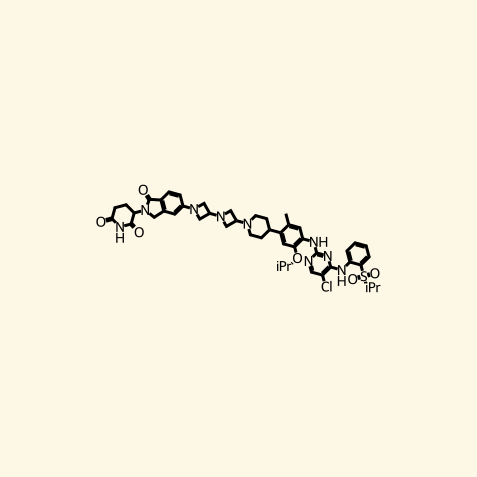 Cc1cc(Nc2ncc(Cl)c(Nc3ccccc3S(=O)(=O)C(C)C)n2)c(OC(C)C)cc1C1CCN(C2CN(C3CN(c4ccc5c(c4)CN(C4CCC(=O)NC4=O)C5=O)C3)C2)CC1